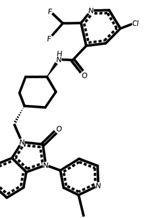 Cc1cc(-n2c(=O)n(C[C@H]3CC[C@H](NC(=O)c4cc(Cl)cnc4C(F)F)CC3)c3ccccc32)ccn1